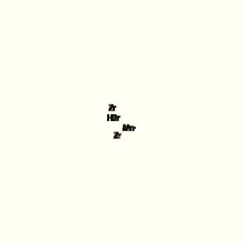 Br.[Mn].[Zr].[Zr]